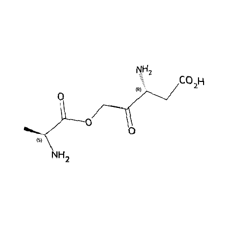 C[C@H](N)C(=O)OCC(=O)[C@H](N)CC(=O)O